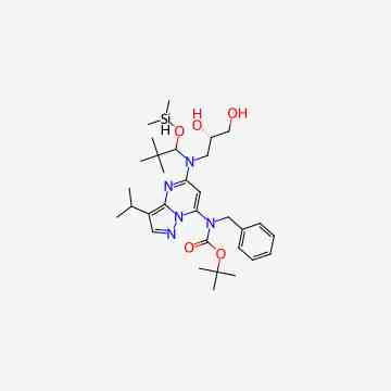 CC(C)c1cnn2c(N(Cc3ccccc3)C(=O)OC(C)(C)C)cc(N(C[C@H](O)CO)C(O[SiH](C)C)C(C)(C)C)nc12